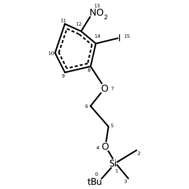 CC(C)(C)[Si](C)(C)OCCOc1cccc([N+](=O)[O-])c1I